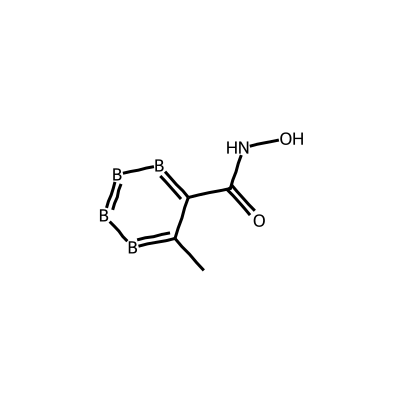 Cc1bbbbc1C(=O)NO